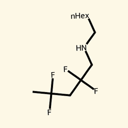 CCCCCCCNCC(F)(F)CC(C)(F)F